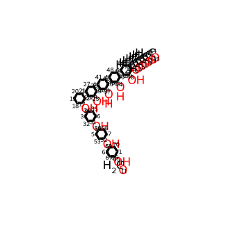 C=O.C=O.C=O.C=O.C=O.C=O.C=O.C=O.Oc1ccccc1.Oc1ccccc1.Oc1ccccc1.Oc1ccccc1.Oc1ccccc1.Oc1ccccc1.Oc1ccccc1.Oc1ccccc1